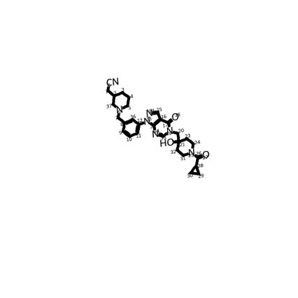 N#CCC1CCCN(Cc2cccc(-n3ncc4c(=O)n(CC5(O)CCN(C(=O)C6CC6)CC5)cnc43)c2)C1